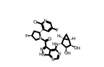 O=C(c1n[nH]c2ncnc(N[C@H]3[C@H](O)[C@H](O)[C@@H]4C[C@@H]43)c12)N1C[C@@H](F)C[C@@H]1c1cc(F)cnc1Cl